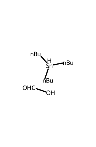 CCC[CH2][SnH]([CH2]CCC)[CH2]CCC.O=CO